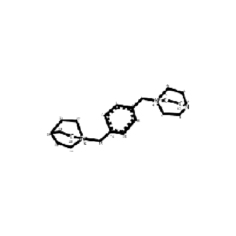 c1cc(C[N+]23CCN(CC2)CC3)ccc1C[N+]12CCC(CC1)CC2